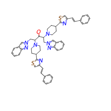 O=C(C(Cn1cc2ccccc2n1)N1CCC(c2nc(C=Cc3ccccc3)cs2)CC1)C(Cn1cc2ccccc2n1)N1CCC(c2nc(C=Cc3ccccc3)cs2)CC1